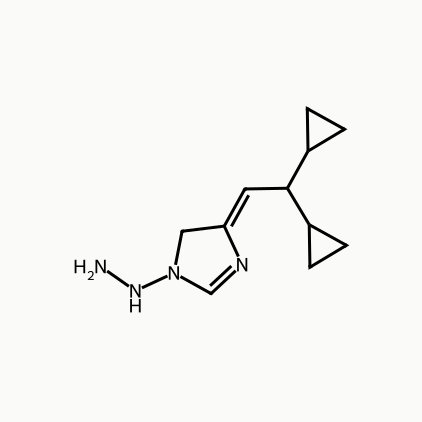 NNN1C=NC(=CC(C2CC2)C2CC2)C1